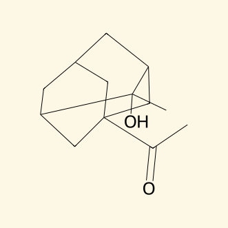 CC(=O)C12CC3CC(C1)C(C)(O)C(C3)C2